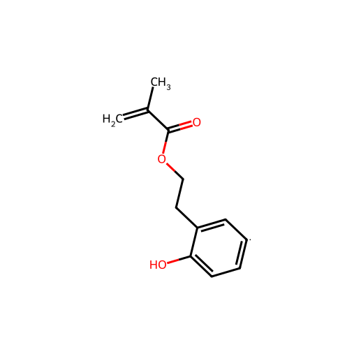 C=C(C)C(=O)OCCc1c[c]ccc1O